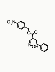 O=C(OCc1ccc([N+](=O)[O-])cc1)C(/C=N\O)CCc1ccccc1